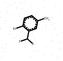 CCc1ccc(C)cc1C(F)F